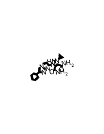 NC(=O)C1=C(C(N)=O)N(C2CC2)NN1c1ccn2cc(-c3ccccc3)nc2n1